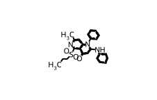 CCCS(=O)(=O)c1nc(C)cc2c1c(=O)cc(Nc1ccccc1)n2-c1ccccc1